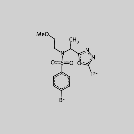 COCCN(C(C)c1nnc(C(C)C)o1)S(=O)(=O)c1ccc(Br)cc1